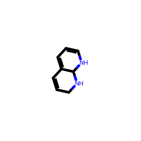 C1=CNC2NCC=CC2=C1